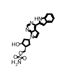 NS(=O)(=O)OC[C@@H]1C[C@@H](n2ccc3c(-c4cc5ccccc5[nH]4)ncnc32)C[C@@H]1O